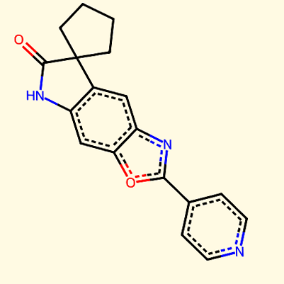 O=C1Nc2cc3oc(-c4ccncc4)nc3cc2C12CCCC2